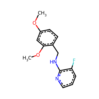 COc1ccc(CNc2ncccc2F)c(OC)c1